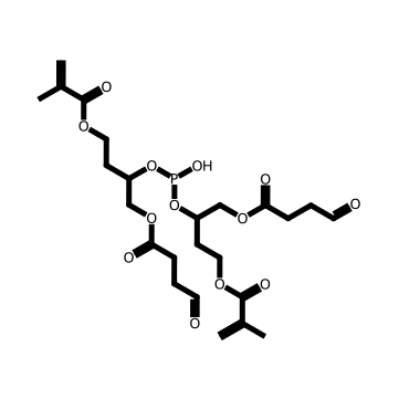 C=C(C)C(=O)OCCC(COC(=O)CCC=O)OP(O)OC(CCOC(=O)C(=C)C)COC(=O)CCC=O